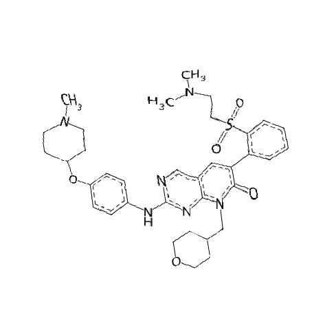 CN(C)CCS(=O)(=O)c1ccccc1-c1cc2cnc(Nc3ccc(OC4CCN(C)CC4)cc3)nc2n(CC2CCOCC2)c1=O